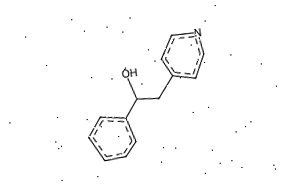 OC(Cc1ccncc1)c1ccccc1